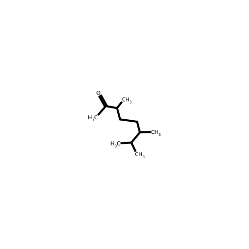 CC(=O)C(C)CCC(C)C(C)C